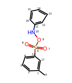 Cc1cccc(S(=O)(=O)ONc2ccccc2)c1